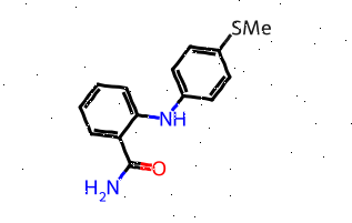 CSc1ccc(Nc2ccccc2C(N)=O)cc1